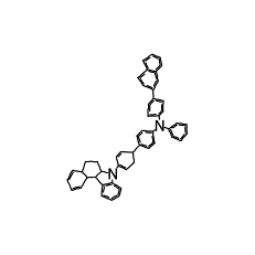 C1=CC2CCC3C(c4ccccc4N3C3=CCC(c4ccc(N(c5ccccc5)c5ccc(-c6ccc7ccccc7c6)cc5)cc4)C=C3)C2C=C1